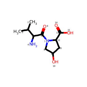 CC(C)C(N)C(=O)N1CC(O)CC1C(=O)O